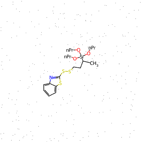 CCCO[Si](OCCC)(OCCC)C(C)CCSSc1nc2ccccc2s1